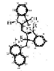 CCN1C(=CC2=[N+](CC)c3ccccc3C2(C)Cc2cccc3ccccc23)C(C)(C)c2ccccc21